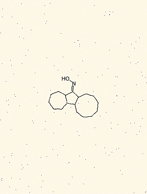 O/N=C1/C2CCCCCCCC2C2CCCCCC12